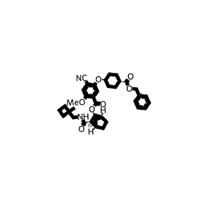 COc1cc(C#N)c(O[C@H]2CC[C@@H](C(=O)OCc3ccccc3)CC2)cc1C(=O)O[C@@H]1[C@H]2CC[C@H](C2)[C@@H]1C(=O)NCC1(C)CCC1